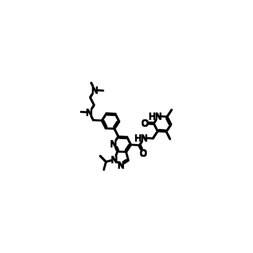 Cc1cc(C)c(CNC(=O)c2cc(-c3cccc(CN(C)CCN(C)C)c3)nc3c2cnn3C(C)C)c(=O)[nH]1